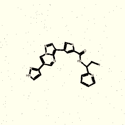 O=C(NC(CF)c1ccccn1)c1cc(-c2cnn3cc(-c4cc[nH]n4)cnc23)cs1